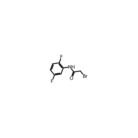 O=C(CBr)Nc1cc(F)ccc1F